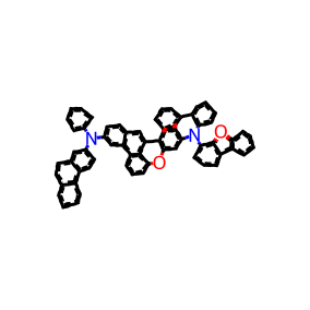 c1ccc(-c2ccccc2N(c2ccc3c(c2)Oc2cccc4c2c-3cc2ccc(N(c3ccccc3)c3ccc5c(ccc6ccccc65)c3)cc24)c2cccc3c2oc2ccccc23)cc1